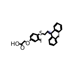 O=C(O)COc1ccc(SC/C=C(/c2ccccc2)c2ccccc2I)c(I)c1